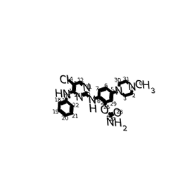 CN1CCN(c2ccc(Nc3ncc(Cl)c(Nc4ccccc4)n3)c(OC(N)=O)c2)CC1